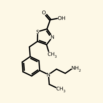 CCN(CCN)c1cccc(Cc2sc(C(=O)O)nc2C)c1